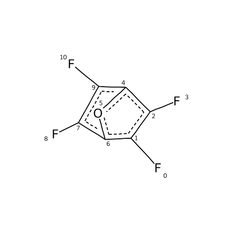 Fc1c(F)c2oc1c(F)c2F